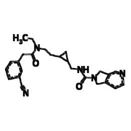 CCN(CCC1CC1CNC(=O)N1Cc2ccncc2C1)C(=O)Cc1cccc(C#N)c1